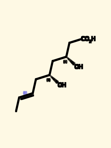 C/C=C/C[C@@H](O)C[C@@H](O)CC(=O)O